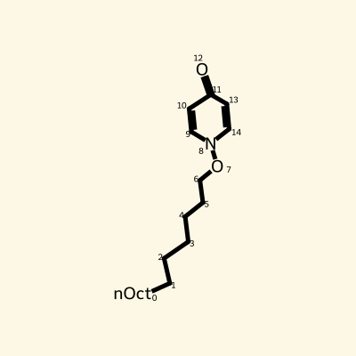 CCCCCCCCCCCCCCOn1ccc(=O)cc1